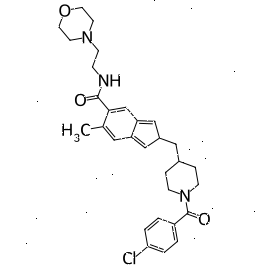 Cc1cc2c(cc1C(=O)NCCN1CCOCC1)=CC(CC1CCN(C(=O)c3ccc(Cl)cc3)CC1)C=2